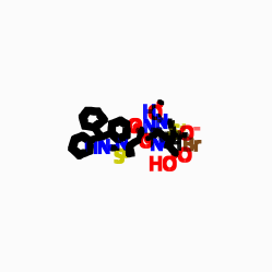 CON1C2C(CBr)=C(C(=O)O)N3C(=O)[C@]1(NC(=O)Cc1csc(NC(c4ccccc4)(c4ccccc4)c4ccccc4)n1)[C@H]3[S@+]2[O-]